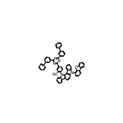 N#Cc1cc(-c2nc(-c3cccc(-c4ccccc4)c3)nc(-c3cccc(-c4ccccc4)c3)n2)ccc1-n1c2ccccc2c2ccc3c(c4ccccc4n3-c3cccc4c3oc3ccccc34)c21